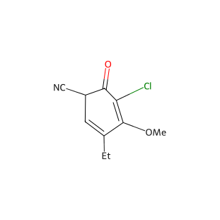 CCC1=CC(C#N)C(=O)C(Cl)=C1OC